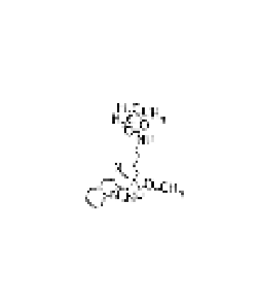 CCOC(=O)C(C#N)(CCCCNC(=O)OC(C)(C)C)c1ncn2c1CCc1ccccc1-2